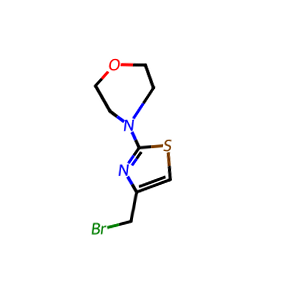 BrCc1csc(N2CCOCC2)n1